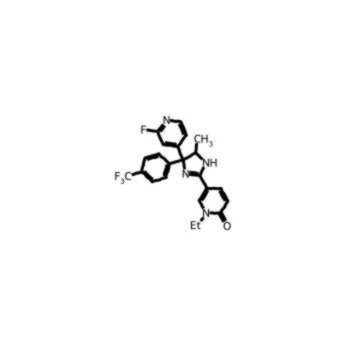 CCn1cc(C2=NC(c3ccc(C(F)(F)F)cc3)(c3ccnc(F)c3)C(C)N2)ccc1=O